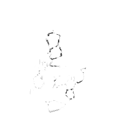 C[C@H](NC(=O)[C@@H]1C[C@@H](F)CN1C(=O)CNC(=O)c1ccc2cc(F)ccc2n1)c1cc(O[C@H]2CCNC2)ccc1/C=C/C1CC1